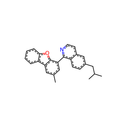 Cc1cc(-c2nccc3cc(CC(C)C)ccc23)c2oc3ccccc3c2c1